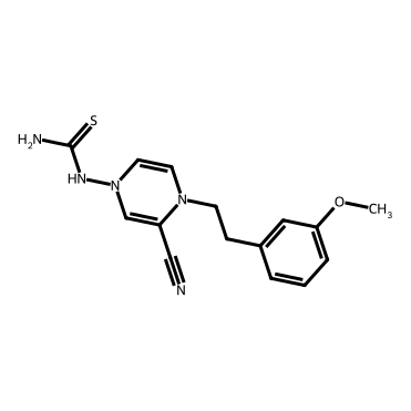 COc1cccc(CCN2C=CN(NC(N)=S)C=C2C#N)c1